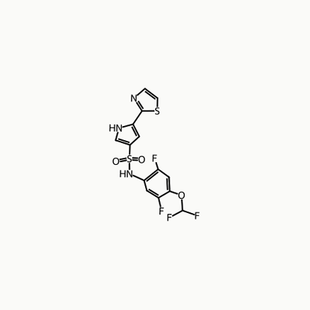 O=S(=O)(Nc1cc(F)c(OC(F)F)cc1F)c1c[nH]c(-c2nccs2)c1